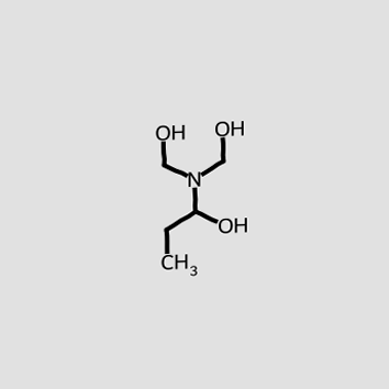 CCC(O)N(CO)CO